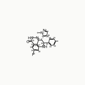 Cn1ncnc1[C@H]1c2n[nH]c(=O)c3cc(F)cc(c23)NC1c1ccccc1